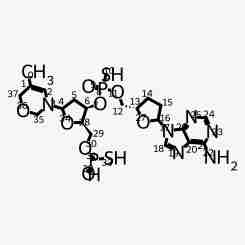 CC1=CN(C2C[C@@H](OP(=O)(S)OC[C@@H]3CCC(n4cnc5c(N)ncnc54)O3)[C@@H](CO[PH](=O)S)O2)COC1